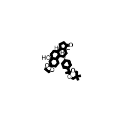 CC1(C)COC(C)(c2ccc([C@H]3C[C@]4(C)C(=O)CC[C@H]4[C@@H]4CC[C@@]5(O)CC6(CCC5=C43)OCCO6)cc2)OC1